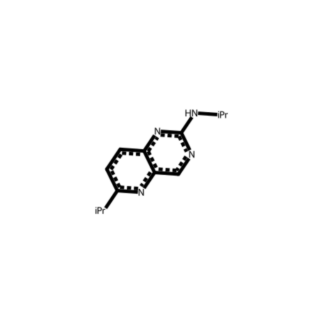 CC(C)Nc1ncc2nc(C(C)C)ccc2n1